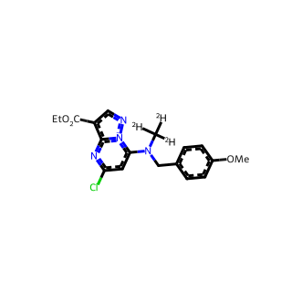 [2H]C([2H])([2H])N(Cc1ccc(OC)cc1)c1cc(Cl)nc2c(C(=O)OCC)cnn12